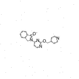 [O-][S+]1c2ccccc2CN1c1ccnc(OCc2ccncc2)n1